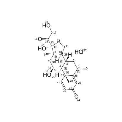 C[C@H]1C[C@@H]2[C@H]([C@@H](O)C[C@@]3(C)[C@H]2CC[C@]3(O)C(=O)CO)[C@@]2(C)C=CC(=O)C=C12.Cl